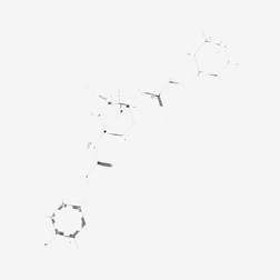 O=C(COc1ccc(Cl)c(F)c1)NC12CCC(NC(=O)COC3CCNC(C(F)(F)F)C3)(CC1)[C@@H](O)C2